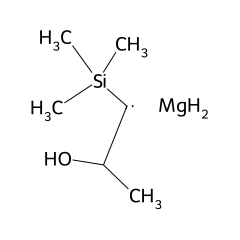 CC(O)[CH][Si](C)(C)C.[MgH2]